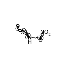 O=C(NCCCCCCOC(=O)Oc1ccc([N+](=O)[O-])cc1)OC1CCN(C(=O)Oc2ccc(Oc3ccccc3)cc2)CC1